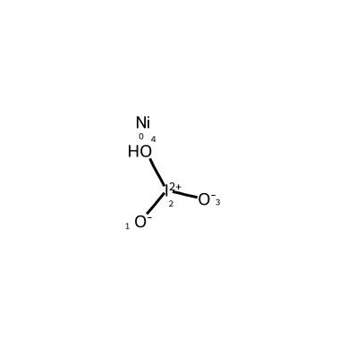 [Ni].[O-][I+2]([O-])O